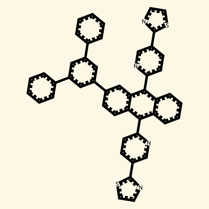 c1ccc(-c2cc(-c3ccccc3)cc(-c3ccc4c(-c5ccc(-c6nccs6)cn5)c5ccccc5c(-c5ccc(-c6nccs6)cn5)c4c3)c2)cc1